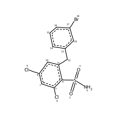 NS(=O)(=O)c1c(Cl)cc(Cl)cc1Cc1cccc(Br)c1